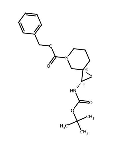 CC(C)(C)OC(=O)N[C@H]1C[C@]12CCCN(C(=O)OCc1ccccc1)C2